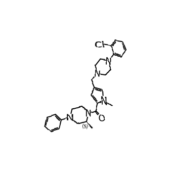 C[C@H]1CN(c2ccccc2)CCN1C(=O)c1cc(CN2CCN(c3ccccc3Cl)CC2)cn1C